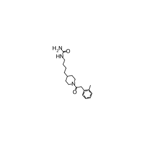 Cc1ccccc1CC(=O)N1CCC(CCCCNC(N)=O)CC1